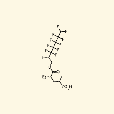 CCC(CC(C)C(=O)O)C(=O)OCC(F)C(F)(F)C(F)(F)C(F)(F)C(F)(F)C(F)F